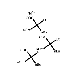 CCCCCCCCC(CC)(CCCC)C(=O)[O-].CCCCCCCCC(CC)(CCCC)C(=O)[O-].CCCCCCCCC(CC)(CCCC)C(=O)[O-].[Nd+3]